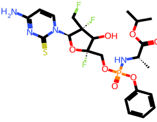 CC(C)OC(=O)[C@H](C)NP(=O)(OC[C@@]1(F)O[C@@H](n2ccc(N)nc2=S)[C@@](F)(CF)C1O)Oc1ccccc1